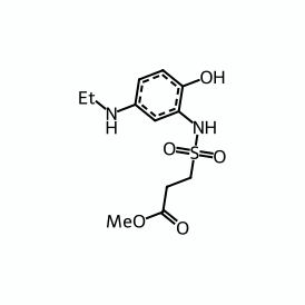 CCNc1ccc(O)c(NS(=O)(=O)CCC(=O)OC)c1